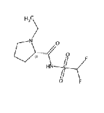 CCN1CCC[C@H]1C(=O)NS(=O)(=O)C(F)F